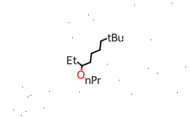 CCCOC(CC)CCCCC(C)(C)C